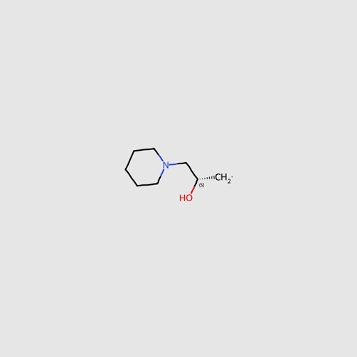 [CH2][C@H](O)CN1CCCCC1